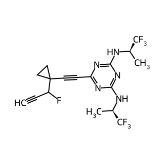 C#CC(F)C1(C#Cc2nc(N[C@H](C)C(F)(F)F)nc(N[C@H](C)C(F)(F)F)n2)CC1